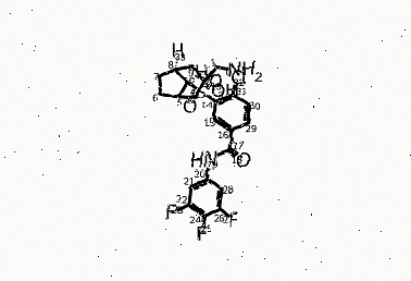 NC[C@@]1(O)CC2CC[C@@H](C1)[C@H]2S(=O)(=O)c1cc(C(=O)Nc2cc(F)c(F)c(F)c2)ccc1Cl